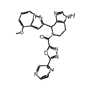 COc1cccn2nc(C3c4nc[nH]c4CCN3C(=O)c3nnc(-c4cnccn4)o3)cc12